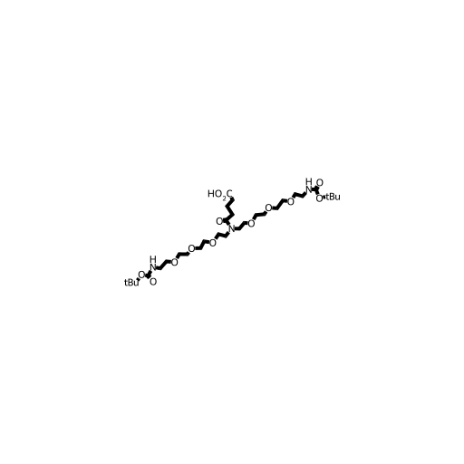 CC(C)(C)OC(=O)NCCOCCOCCOCCN(CCOCCOCCOCCNC(=O)OC(C)(C)C)C(=O)CCCC(=O)O